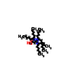 CCCCCC1C(CCCCC)N1C(CC(=O)O)(N1C(CCCCC)C1CCCCC)N1C(CCCCC)C1CCCCC